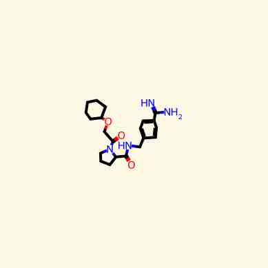 N=C(N)c1ccc(CNC(=O)C2CCCN2C(=O)COC2CCCCC2)cc1